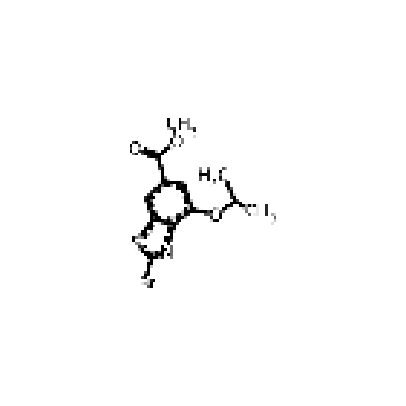 COC(=O)c1cc(OC(C)C)c2nc(Br)sc2c1